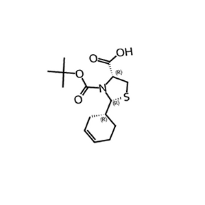 CC(C)(C)OC(=O)N1[C@@H]([C@H]2CC=CCC2)SC[C@H]1C(=O)O